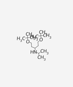 CC(C)NC(CCOC(C)(C)C)CCOC(C)(C)C